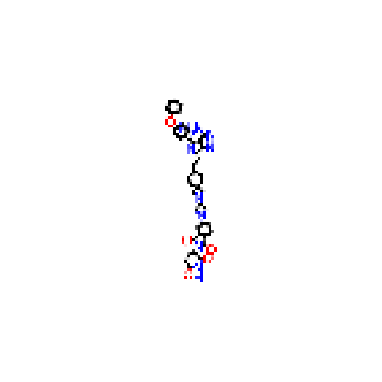 Nc1ncnc2c1C(c1ccc(Oc3ccccc3)cc1)=NC2CCC1CCC2(CC1)CN(C1CN(c3ccc4c(c3)C(=O)N([C@@H]3CCC(=O)NC3=O)C4=O)C1)C2